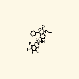 CCCN1C(=O)OC(C2CCCCC2)c2cc(NS(=O)(=O)Cc3c(F)c(F)c(C)c(F)c3F)ccc21